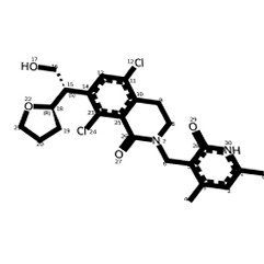 Cc1cc(C)c(CN2CCc3c(Cl)cc([C@@H](CO)[C@H]4CCCO4)c(Cl)c3C2=O)c(=O)[nH]1